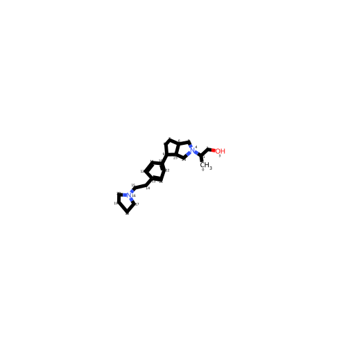 CC(CO)N1CC2CCC(c3ccc(CCN4CCCC4)cc3)C2C1